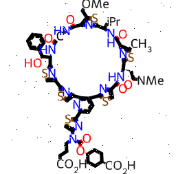 CNC(=O)C[C@@H]1NC(=O)c2csc(n2)-c2ccc(-c3nc(N(CCCC(=O)O)C(=O)O[C@H]4CC[C@H](C(=O)O)CC4)cs3)nc2-c2csc(n2)-c2csc(n2)[C@H]([C@@H](O)c2ccccc2)NC(=O)CNC(=O)c2nc(sc2COC)C(C(C)C)NC(=O)c2nc1sc2C